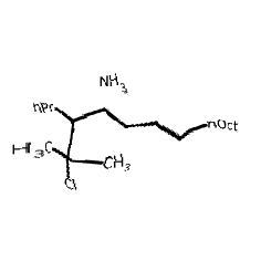 CCCCCCCCCCCCC(CCC)C(C)(C)Cl.N